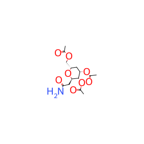 CC(=O)OC[C@@H]1C[C@H](OC(C)=O)[C@H](OC(C)=O)[C@@H](CC(N)=O)O1